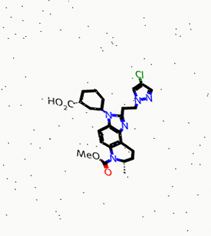 COC(=O)N1c2ccc3c(nc(CCn4cc(Cl)cn4)n3[C@@H]3CCC[C@@H](C(=O)O)C3)c2CC[C@@H]1C